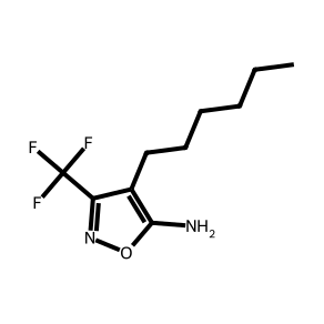 CCCCCCc1c(C(F)(F)F)noc1N